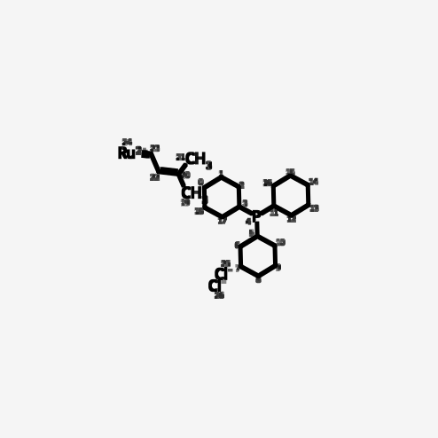 C1CCC(P(C2CCCCC2)C2CCCCC2)CC1.CC(C)=C[CH]=[Ru+2].[Cl-].[Cl-]